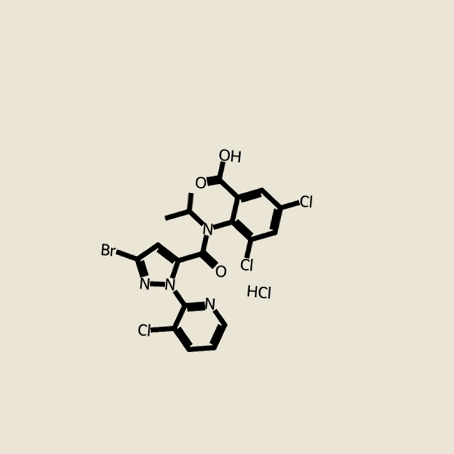 CC(C)N(C(=O)c1cc(Br)nn1-c1ncccc1Cl)c1c(Cl)cc(Cl)cc1C(=O)O.Cl